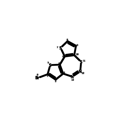 Brc1cc2c(s1)-c1sccc1SN=N2